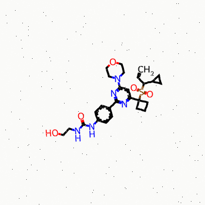 C=CC(C1CC1)S(=O)(=O)C1(c2cc(N3CCOCC3)nc(-c3ccc(NC(=O)NCCO)cc3)n2)CCC1